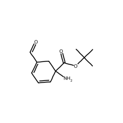 CC(C)(C)OC(=O)C1(N)C=CC=C(C=O)C1